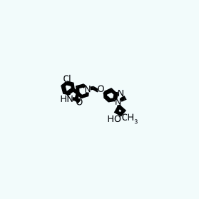 CC1(O)CC(n2cnc3cc(OCCN4CCC5(CC4)C(=O)Nc4ccc(Cl)cc45)ccc32)C1